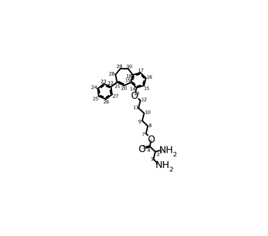 NCC(N)C(=O)OCCCCCCOc1cccc2c1C=C(c1ccccc1)CCC2